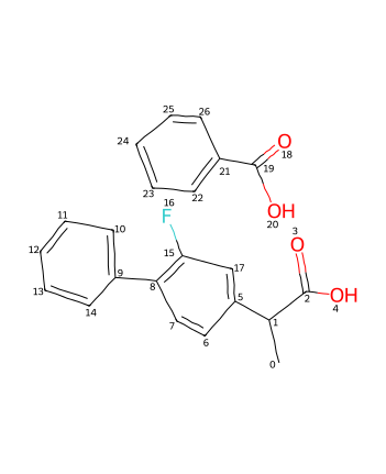 CC(C(=O)O)c1ccc(-c2ccccc2)c(F)c1.O=C(O)c1ccccc1